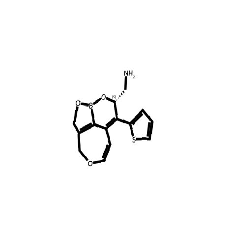 NC[C@H]1OB2OCC3=C2C(=C1c1cccs1)C=COC3